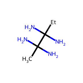 CCC(N)(N)C(C)(N)N